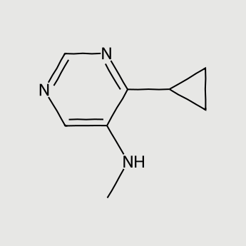 CNc1cncnc1C1CC1